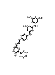 Oc1cc(O)cc(Nc2cc(Cl)cc(Nc3ccc(/C=N/Nc4ncc(F)c(N5CCOCC5)n4)nc3)c2)c1